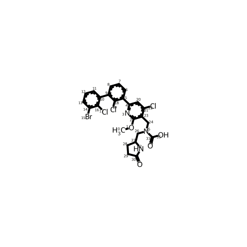 COc1nc(-c2cccc(-c3cccc(Br)c3Cl)c2Cl)cc(Cl)c1CN(CC1CCC(=O)N1)C(=O)O